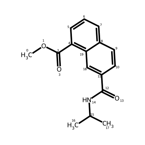 COC(=O)c1cccc2ccc(C(=O)NC(C)C)cc12